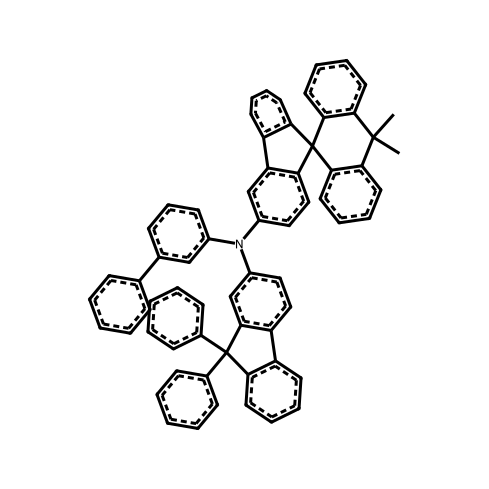 CC1(C)c2ccccc2C2(c3ccccc3-c3cc(N(c4cccc(-c5ccccc5)c4)c4ccc5c(c4)C(c4ccccc4)(c4ccccc4)c4ccccc4-5)ccc32)c2ccccc21